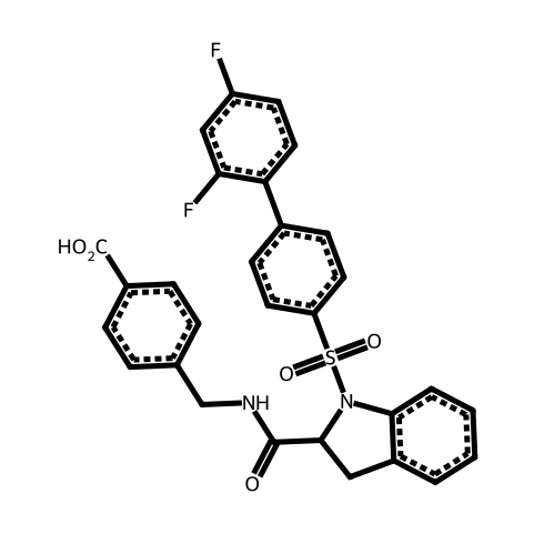 O=C(O)c1ccc(CNC(=O)C2Cc3ccccc3N2S(=O)(=O)c2ccc(-c3ccc(F)cc3F)cc2)cc1